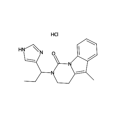 CCC(c1c[nH]cn1)N1CCc2c(C)c3ccccc3n2C1=O.Cl